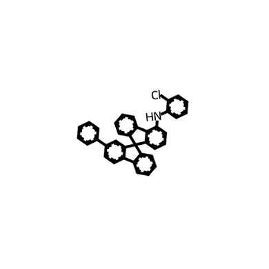 Clc1ccccc1Nc1cccc2c1-c1ccccc1C21c2ccccc2-c2ccc(-c3ccccc3)cc21